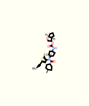 CC(C)(C)C#Cc1cc(N(C(=O)[C@H]2CC[C@H](C)CC2)C2CCC(NC(=O)O[C@H]3CO[C@H]4CCC[C@H]43)CC2)c(C(=O)O)s1